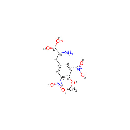 COc1c([N+](=O)[O-])cc(C[C@H](N)C(=O)O)cc1[N+](=O)[O-]